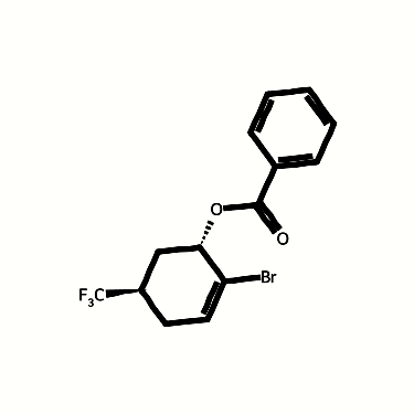 O=C(O[C@H]1C[C@H](C(F)(F)F)CC=C1Br)c1ccccc1